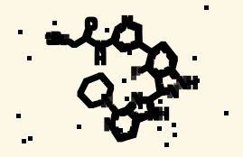 CC(C)(C)CC(=O)Nc1cncc(-c2ccc3[nH]nc(-c4nc5c(N6CCCCC6)nccc5[nH]4)c3c2F)c1